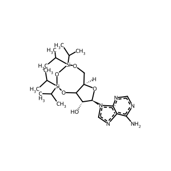 CC(C)[Si]1(C(C)C)OC[C@H]2O[C@@H](n3cnc4c(N)ncnc43)[C@H](O)C2O[Si](C(C)C)(C(C)C)O1